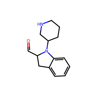 O=CC1Cc2ccccc2N1C1CCCNC1